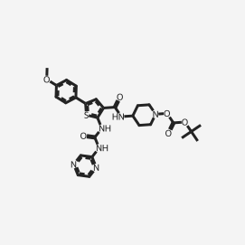 COc1ccc(-c2cc(C(=O)NC3CCN(OC(=O)OC(C)(C)C)CC3)c(NC(=O)Nc3cnccn3)s2)cc1